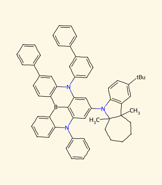 CC(C)(C)c1ccc2c(c1)C1(C)CCCCCC1(C)N2c1cc2c3c(c1)N(c1cccc(-c4ccccc4)c1)c1cc(-c4ccccc4)ccc1B3c1ccccc1N2c1ccccc1